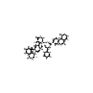 c1ccc(C2=NC(c3ccc4c(ccc5ccccc54)c3)=NC(c3cccc4sc5c6c(ccc5c34)-c3cccc4cccc-6c34)N2)cc1